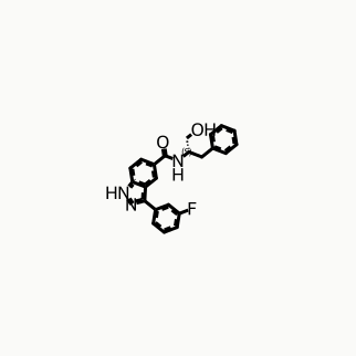 O=C(N[C@H](CO)Cc1ccccc1)c1ccc2[nH]nc(-c3cccc(F)c3)c2c1